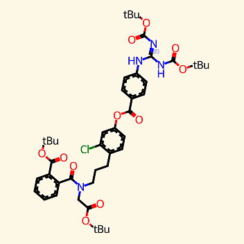 CC(C)(C)OC(=O)CN(CCCc1ccc(OC(=O)c2ccc(N/C(=N\C(=O)OC(C)(C)C)NC(=O)OC(C)(C)C)cc2)cc1Cl)C(=O)c1ccccc1C(=O)OC(C)(C)C